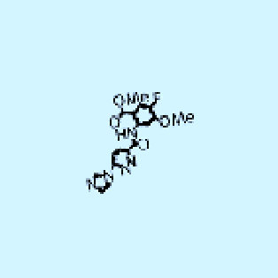 COC(=O)c1cc(F)c(OC)cc1NC(=O)c1ccc(-n2ccnc2)nn1